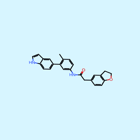 Cc1ccc(NC(=O)Cc2ccc3c(c2)CCO3)cc1-c1ccc2[nH]ccc2c1